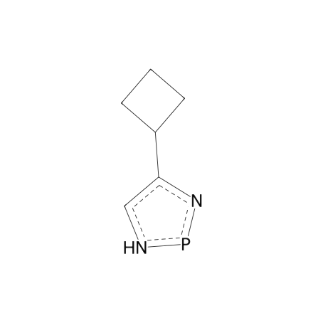 c1[nH]pnc1C1CCC1